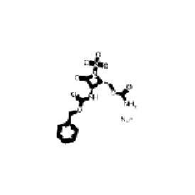 NC(=O)OC[C@@H]1[C@@H](NC(=O)OCc2ccccc2)C(=O)N1S(=O)(=O)[O-].[Na+]